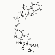 Cc1c(CN(C)C(=O)C=Cc2cnc3c(c2)CCC(N(C)C)C(=O)N3)oc2ccccc12